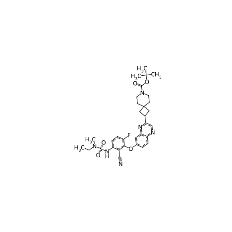 CCN(C)S(=O)(=O)Nc1ccc(F)c(Oc2ccc3ncc(C4CC5(CCN(C(=O)OC(C)(C)C)CC5)C4)nc3c2)c1C#N